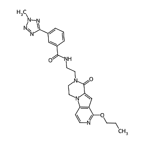 CCCOc1nccc2c1cc1n2CCN(CCNC(=O)c2cccc(-c3nnn(C)n3)c2)C1=O